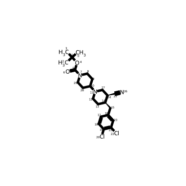 CC(C)(C)OC(=O)N1CCC(N2CC[C@H](Cc3ccc(Cl)c(Cl)c3)[C@H](C#N)C2)CC1